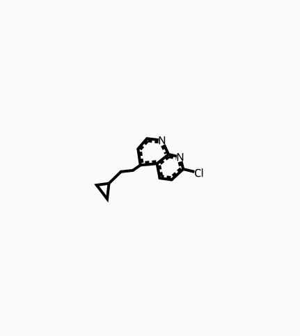 Clc1ccc2c(CCC3CC3)ccnc2n1